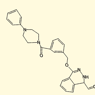 O=CC1NN=C(OCc2cccc(C(=O)N3CCN(c4ccccc4)CC3)c2)c2ccccc21